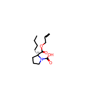 C=CCOC(=O)[C@]1(CCCC)CCCN1C(=O)O